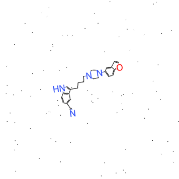 N#Cc1ccc2[nH]cc(CCCCN3CCN(c4ccc5occc5c4)CC3)c2c1